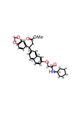 COC(=O)CC(c1ccc2c(c1)OCO2)c1ccc2ccc(OCC(=O)NC3CCCCC3)cc2c1